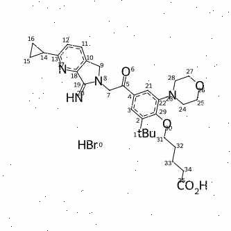 Br.CC(C)(C)c1cc(C(=O)CN2Cc3ccc(C4CC4)nc3C2=N)cc(N2CCOCC2)c1OCCCCC(=O)O